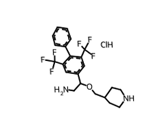 Cl.NCC(OCC1CCNCC1)c1cc(C(F)(F)F)c(-c2ccccc2)c(C(F)(F)F)c1